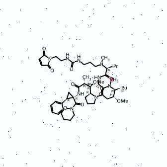 CC[C@H](C)[C@@H]([C@@H](CC(=O)N1CCC[C@H]1[C@H](OC)[C@@H](C)C(=O)N[C@@]1(C(=O)N2CCCCO2)C[C@@H]1c1ccccc1)OC)N(C)C(=O)[C@@H](NC(=O)[C@H](C(C)C)N(C)CCCNC(=O)NCCN1C(=O)C=CC1=O)C(C)C